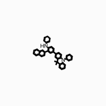 CC1(C)c2ccccc2N(c2ccccc2)c2ccc(-c3ccc(NC4=CCCC=C4)c(-c4ccc5ccccc5c4)c3)cc21